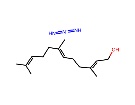 CC(C)=CCCC(C)=CCCC(C)=CCO.N=[N+]=N